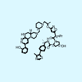 Cc1ncsc1-c1ccc([C@H](C)NC(=O)[C@@H]2C[C@@H](O)CN2C(=O)[C@@H](c2cc(O[C@H](C)CN3CCC[C@H](CN4CCN5c6cc(-c7ccccc7O)nnc6NC[C@@H]5C4)C3)no2)C(C)C)cc1